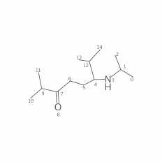 CC(C)NC(CCC(=O)C(C)C)C(C)C